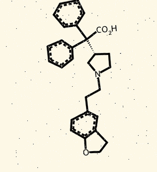 O=C(O)C(c1ccccc1)(c1ccccc1)[C@@H]1CCN(CCc2ccc3c(c2)CCO3)C1